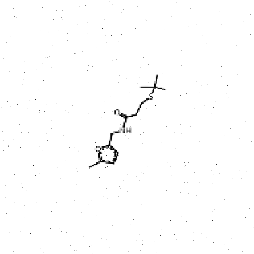 Cc1ccc(CNC(=O)CCSC(C)(C)C)o1